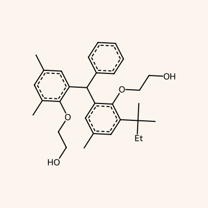 CCC(C)(C)c1cc(C)cc(C(c2ccccc2)c2cc(C)cc(C)c2OCCO)c1OCCO